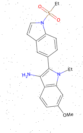 CCn1c(-c2ccc3c(ccn3S(=O)(=O)CC)c2)c(N)c2ccc(OC)cc21